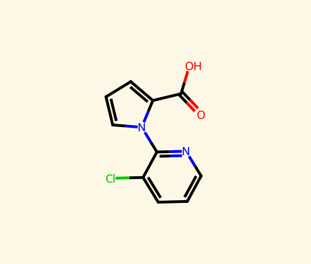 O=C(O)c1cccn1-c1ncccc1Cl